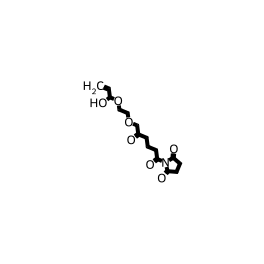 C=CC(O)OCCOCC(=O)CCCC(=O)N1C(=O)CCC1=O